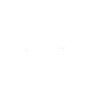 OCC(O)CCCCCCC(O)CO